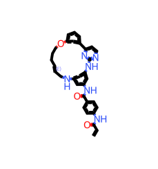 C=CC(=O)Nc1ccc(C(=O)Nc2cc3cc(c2)Nc2nccc(n2)-c2cccc(c2)OCCC/C=C/CN3)cc1